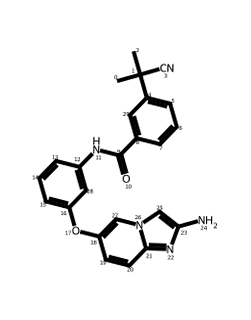 CC(C)(C#N)c1cccc(C(=O)Nc2cccc(Oc3ccc4nc(N)cn4c3)c2)c1